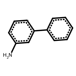 Nc1cc[c]c(-c2ccccc2)c1